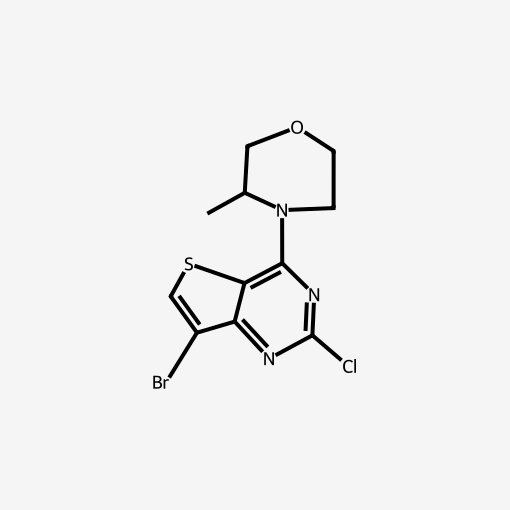 CC1COCCN1c1nc(Cl)nc2c(Br)csc12